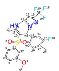 COc1cccc(S(=O)(=O)C2=C(C)Nc3cc(C(F)(F)F)nn3C2c2ccc(C)c(F)c2)c1